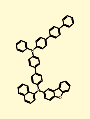 c1ccc(-c2ccc(-c3ccc(N(c4ccccc4)c4ccc(-c5ccc(N(c6ccc7oc8ccccc8c7c6)c6cccc7ccccc67)cc5)cc4)cc3)cc2)cc1